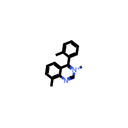 Cc1ccccc1-c1c2cccc(C)c2nc[n+]1C